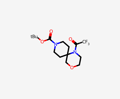 CC(C)(C)OC(=O)N1CCC2(CC1)COCCN2C(=O)C(F)(F)F